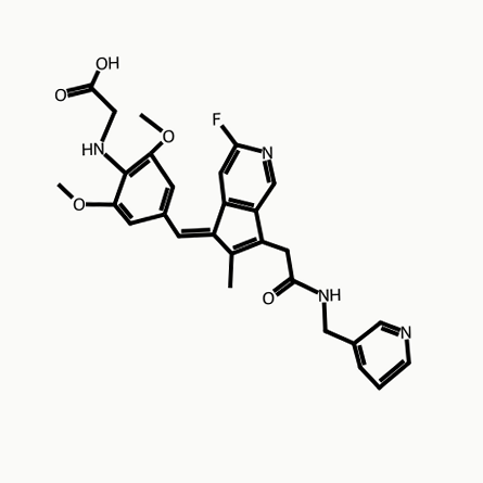 COc1cc(/C=C2/C(C)=C(CC(=O)NCc3cccnc3)c3cnc(F)cc32)cc(OC)c1NCC(=O)O